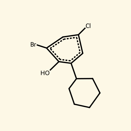 Oc1c(Br)cc(Cl)cc1C1CCCCC1